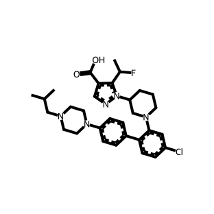 CC(C)CN1CCN(c2ccc(-c3ccc(Cl)cc3N3CCCC(n4ncc(C(=O)O)c4C(C)F)C3)cc2)CC1